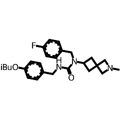 CC(C)COc1ccc(CNC(=O)N(Cc2ccc(F)cc2)C2CC3(C2)CN(C)C3)cc1